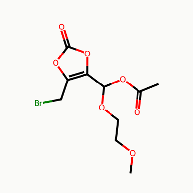 COCCOC(OC(C)=O)c1oc(=O)oc1CBr